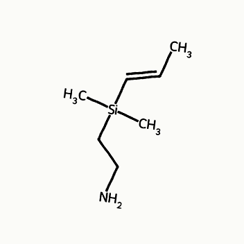 C/C=C/[Si](C)(C)CCN